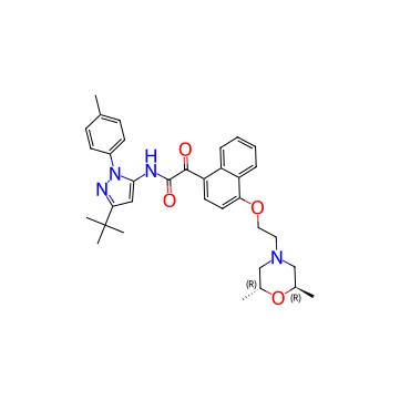 Cc1ccc(-n2nc(C(C)(C)C)cc2NC(=O)C(=O)c2ccc(OCCN3C[C@@H](C)O[C@H](C)C3)c3ccccc23)cc1